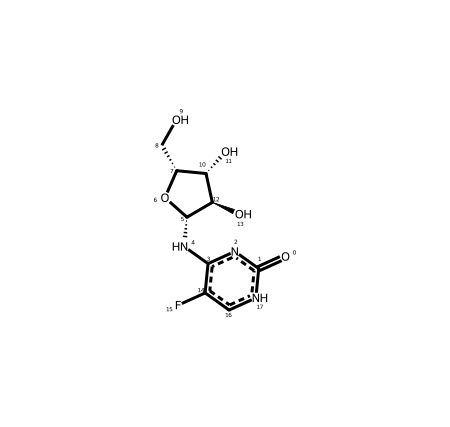 O=c1nc(N[C@@H]2O[C@H](CO)[C@H](O)[C@H]2O)c(F)c[nH]1